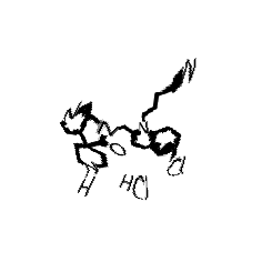 Cl.N#CCCCn1c(CN2C(=O)C3(CCNCC3)c3ccncc32)cc2cc(Cl)ccc21